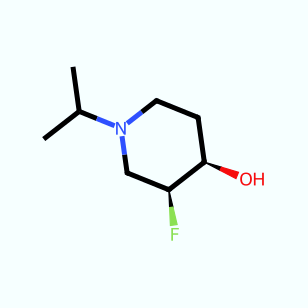 CC(C)N1CC[C@@H](O)[C@@H](F)C1